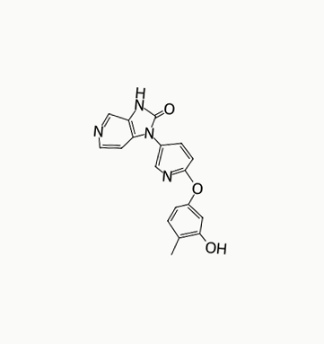 Cc1ccc(Oc2ccc(-n3c(=O)[nH]c4cnccc43)cn2)cc1O